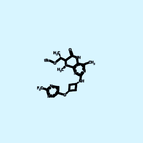 Cc1nc(N[C@H]2C[C@H](Oc3cnc(C(F)(F)F)nc3)C2)nc2c1NC(=O)C([C@@H](C)OC(C)(C)C)N2C